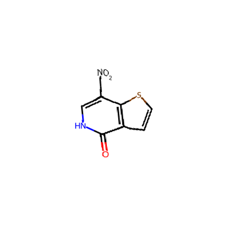 O=c1[nH]cc([N+](=O)[O-])c2sccc12